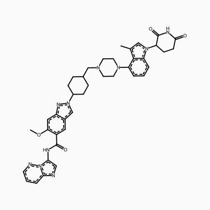 COc1cc2nn(C3CCC(CN4CCN(c5cccc6c5c(C)cn6C5CCC(=O)NC5=O)CC4)CC3)cc2cc1C(=O)Nc1cnc2cccnn12